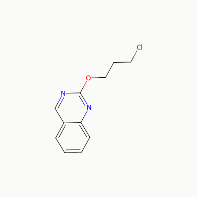 ClCCCOc1ncc2ccccc2n1